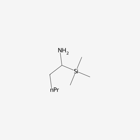 CCCCC(N)[Si](C)(C)C